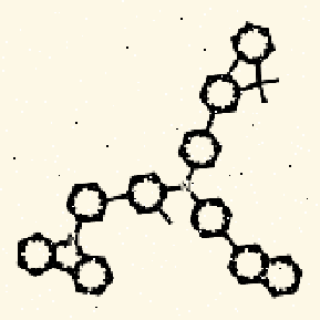 Cc1cc(-c2cccc(-n3c4ccccc4c4ccccc43)c2)ccc1N(c1ccc(-c2ccc3c(c2)C(C)(C)c2ccccc2-3)cc1)c1ccc(-c2ccc3ccccc3c2)cc1